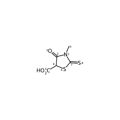 CN1C(=O)C(C(=O)O)SC1=S